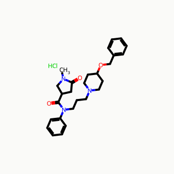 CN1CC(C(=O)N(CCCN2CCC(OCc3ccccc3)CC2)c2ccccc2)CC1=O.Cl